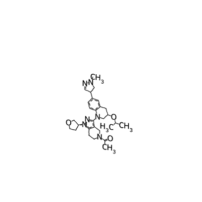 CC(=O)N1CCc2c(c(N3CC(OC(C)C)Cc4cc(C5C=NN(C)C5)ccc43)nn2[C@H]2CCOC2)C1